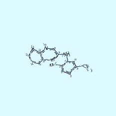 FC(F)(F)c1ccc(Br)c(Nc2cnc3ccccc3c2)c1